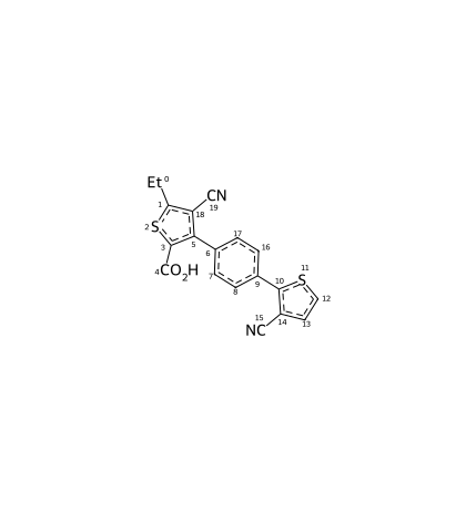 CCc1sc(C(=O)O)c(-c2ccc(-c3sccc3C#N)cc2)c1C#N